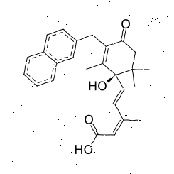 CC1=C(Cc2ccc3ccccc3c2)C(=O)CC(C)(C)[C@]1(O)/C=C/C(C)=C\C(=O)O